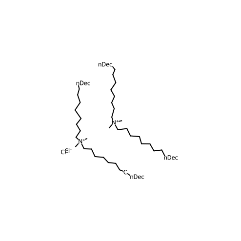 CCCCCCCCCCCCCCCCCC[N+](C)(C)CCCCCCCCCCCCCCCCCC.CCCCCCCCCCCCCCCCCC[N+](C)(C)CCCCCCCCCCCCCCCCCC.[Cl-].[Cl-]